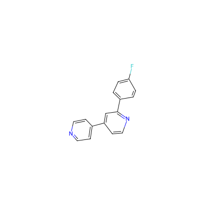 Fc1ccc(-c2cc(-c3ccncc3)ccn2)cc1